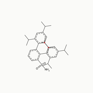 CC(C)c1cc(C(C)C)c(-c2cccc(S(N)(=O)=O)c2-c2c(C(C)C)cc(C(C)C)cc2C(C)C)c(C(C)C)c1